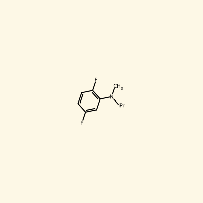 CC(C)N(C)c1cc(F)ccc1F